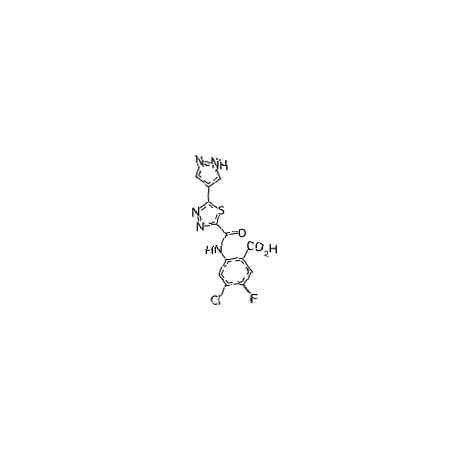 O=C(Nc1cc(Cl)c(F)cc1C(=O)O)c1nnc(-c2cn[nH]c2)s1